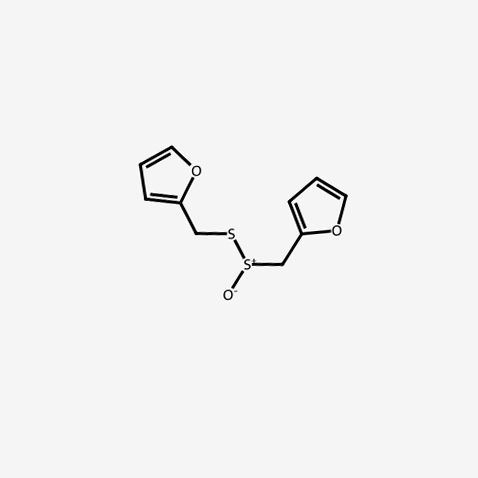 [O-][S+](Cc1ccco1)SCc1ccco1